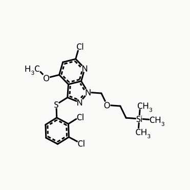 COc1cc(Cl)nc2c1c(Sc1cccc(Cl)c1Cl)nn2COCC[Si](C)(C)C